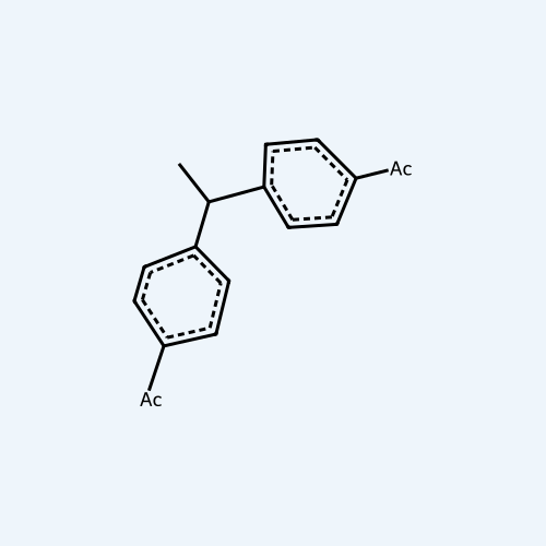 CC(=O)c1ccc(C(C)c2ccc(C(C)=O)cc2)cc1